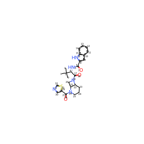 CC(C)(C)[C@H](NC(=O)c1cc2ccccc2[nH]1)C(=O)N1CC2C1CCCN2C(=O)c1cncs1